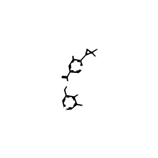 Cc1c(F)cncc1CNC(=O)c1cnc(C2CC2(F)F)c(F)c1